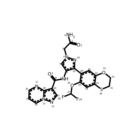 NC(=O)Cn1cc(NC(=O)c2cnn3cccnc23)c(-c2cc3c(cc2OC(F)F)SCCO3)n1